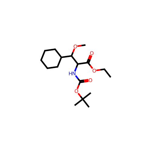 CCOC(=O)C(NC(=O)OC(C)(C)C)C(OC)C1CCCCC1